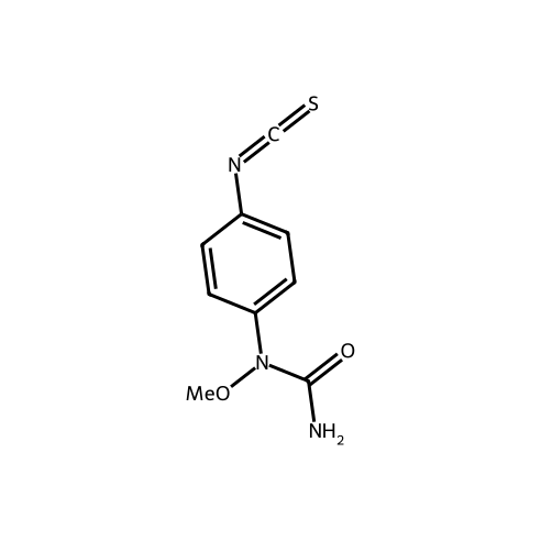 CON(C(N)=O)c1ccc(N=C=S)cc1